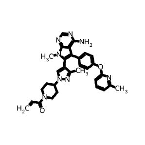 C=CC(=O)N1CCC(n2cc(-c3c(-c4ccc(Oc5cccc(C)n5)cc4)c4c(N)ncnc4n3C)c(C)n2)CC1